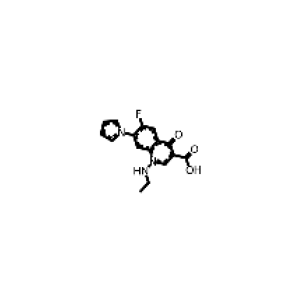 CCNn1cc(C(=O)O)c(=O)c2cc(F)c(-n3cccc3)cc21